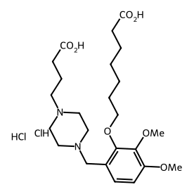 COc1ccc(CN2CCN(CCCC(=O)O)CC2)c(OCCCCCCC(=O)O)c1OC.Cl.Cl